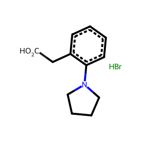 Br.O=C(O)Cc1ccccc1N1CCCC1